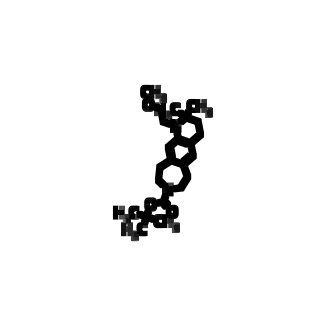 COCCN1c2cc3c(cc2CCC1(C)C)CCN(C(=O)OC(C)(C)C)CC3